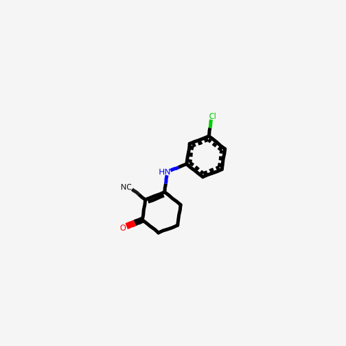 N#CC1=C(Nc2cccc(Cl)c2)CCCC1=O